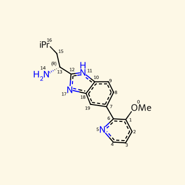 COc1cccnc1-c1ccc2[nH]c([C@H](N)CC(C)C)nc2c1